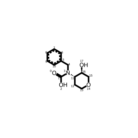 O=C(O)N(Cc1ccccc1)[C@H]1CCOC[C@@H]1O